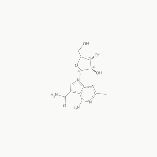 Cc1nc(N)c2c(C(N)=O)cn([C@@H]3OC(CO)[C@@H](O)[C@H]3O)c2n1